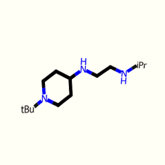 CC(C)NCCNC1CCN(C(C)(C)C)CC1